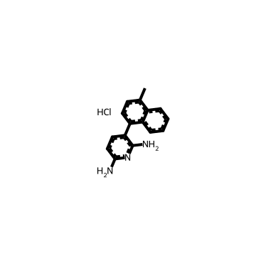 Cc1ccc(-c2ccc(N)nc2N)c2ccccc12.Cl